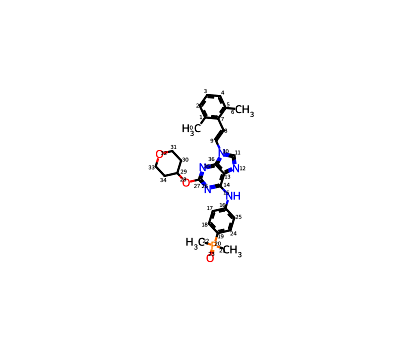 Cc1cccc(C)c1C=Cn1cnc2c(Nc3ccc(P(C)(C)=O)cc3)nc(OC3CCOCC3)nc21